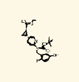 CCOC(=O)[C@@H]1C[C@H]1c1ccc(N(Cc2cc(Br)ccc2F)C(=O)OC(C)(C)C)nc1